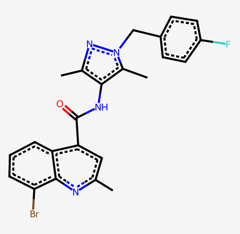 Cc1cc(C(=O)Nc2c(C)nn(Cc3ccc(F)cc3)c2C)c2cccc(Br)c2n1